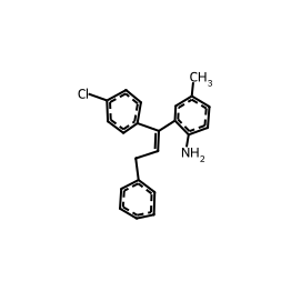 Cc1ccc(N)c(/C(=C/Cc2ccccc2)c2ccc(Cl)cc2)c1